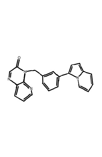 O=c1cnc2cccnc2n1Cc1cccc(-c2ccc3ccccn23)c1